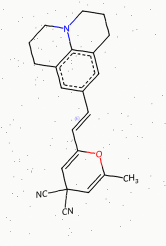 CC1=CC(C#N)(C#N)C=C(/C=C/c2cc3c4c(c2)CCCN4CCC3)O1